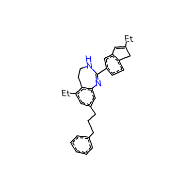 CCC1=Cc2cc(C3=Nc4cc(CCCc5ccccc5)cc(CC)c4CCN3)ccc2C1